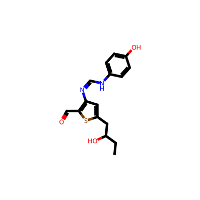 CCC(O)Cc1cc(/N=C\Nc2ccc(O)cc2)c(C=O)s1